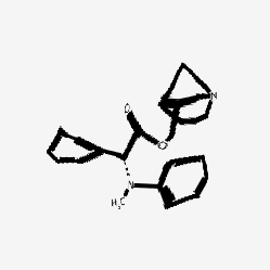 CN(c1ccccc1)[C@@H](C(=O)OC1CN2CCC1CC2)c1ccccc1